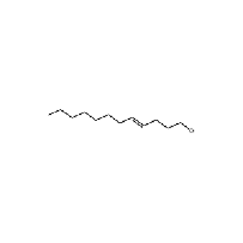 CCCCCCCC=CCCC[O]